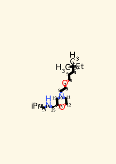 CCC(C)(C)CCCOCCN1CCO[C@@H](CNCC(C)C)C1